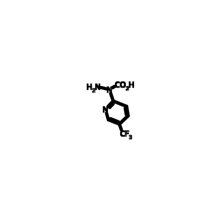 NN(C(=O)O)c1ccc(C(F)(F)F)cn1